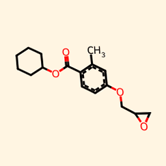 Cc1cc(OCC2CO2)ccc1C(=O)OC1CCCCC1